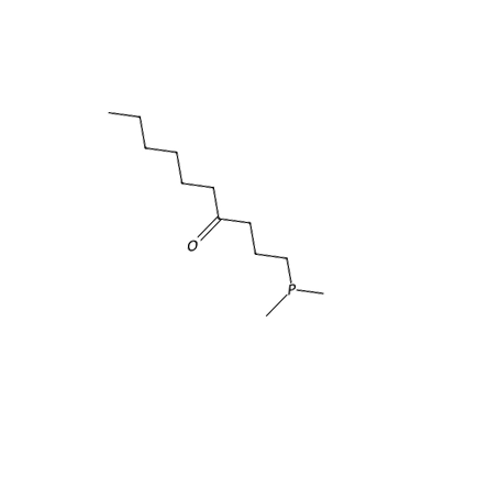 CCCCCCC(=O)CCCP(C)C